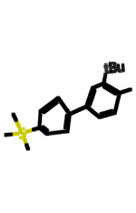 Cc1ccc(-c2ccc(S(C)(C)C)cc2)cc1C(C)(C)C